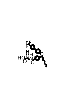 CCCCCCC(Oc1ccc(-c2ccc(C(F)(F)F)cc2)cc1)c1ccc(C(=O)NC[C@@H](O)C(=O)O)cc1